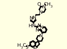 CSc1ccc(C2(CC#N)CCN(c3cccn4nc(Nc5cnn(CCN6CCN(C)C(=O)C6)c5)nc34)CC2)cc1